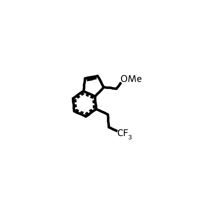 COCC1C=Cc2cccc(CCC(F)(F)F)c21